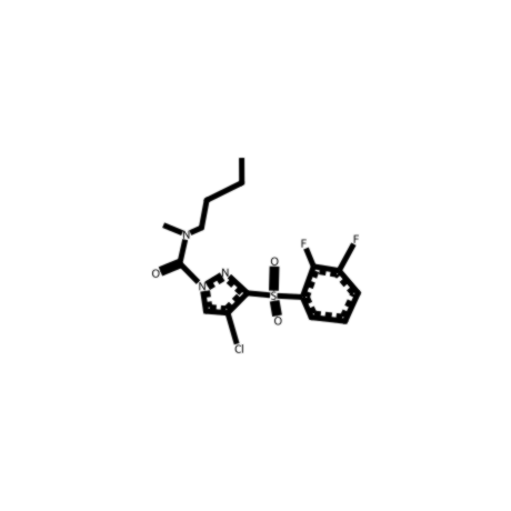 CCCCN(C)C(=O)n1cc(Cl)c(S(=O)(=O)c2cccc(F)c2F)n1